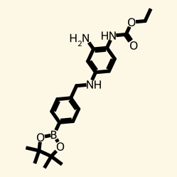 CCOC(=O)Nc1ccc(NCc2ccc(B3OC(C)(C)C(C)(C)O3)cc2)cc1N